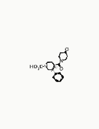 O=C1CCN(C(=O)[C@@H]2CCN(C(=O)O)C[C@H]2c2ccccc2)CC1